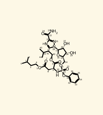 CC(C)CCOC(=O)C[C@H](NP(=O)(OC[C@H]1O[C@@H](n2cnc(C(N)=O)n2)[C@H](O)[C@@H]1O)Oc1ccccc1)C(=O)OCCC(C)C